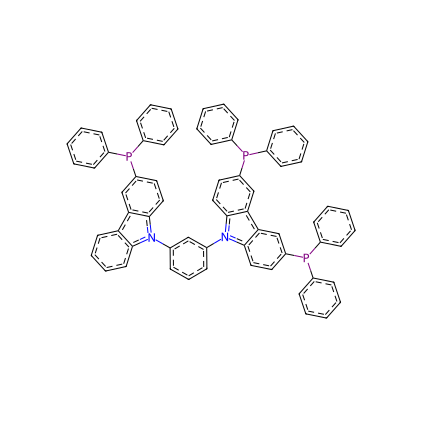 c1ccc(P(c2ccccc2)c2ccc3c(c2)c2ccccc2n3-c2cccc(-n3c4ccc(P(c5ccccc5)c5ccccc5)cc4c4cc(P(c5ccccc5)c5ccccc5)ccc43)c2)cc1